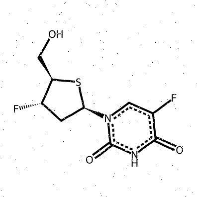 O=c1[nH]c(=O)n([C@H]2C[C@H](F)[C@@H](CO)S2)cc1F